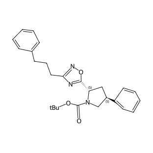 CC(C)(C)OC(=O)N1C[C@H](c2ccccc2)C[C@H]1c1nc(CCCc2ccccc2)no1